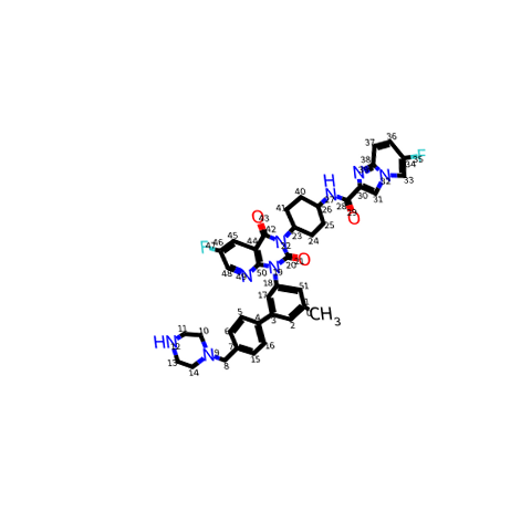 Cc1cc(-c2ccc(CN3CCNCC3)cc2)cc(-n2c(=O)n(C3CCC(NC(=O)c4cn5cc(F)ccc5n4)CC3)c(=O)c3cc(F)cnc32)c1